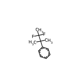 CC(F)(F)C(C)(C)c1ccccc1